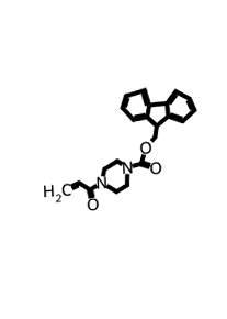 C=CC(=O)N1CCN(C(=O)OCC2c3ccccc3-c3ccccc32)CC1